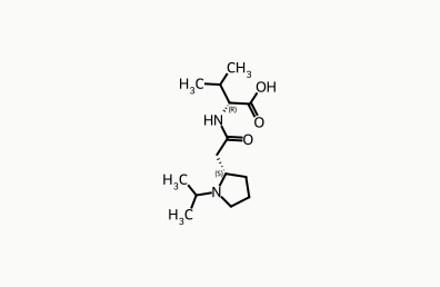 CC(C)[C@@H](NC(=O)C[C@@H]1CCCN1C(C)C)C(=O)O